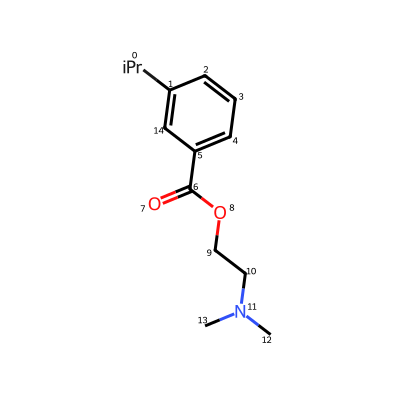 CC(C)c1cccc(C(=O)OCCN(C)C)c1